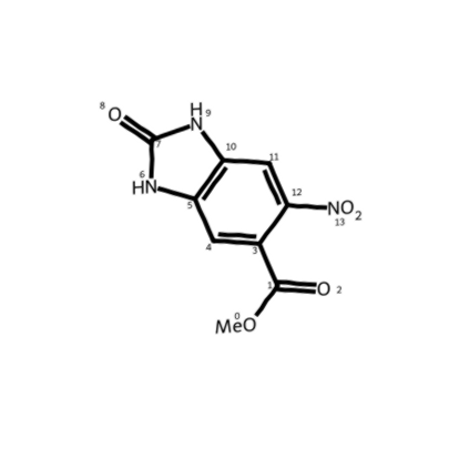 COC(=O)c1cc2[nH]c(=O)[nH]c2cc1[N+](=O)[O-]